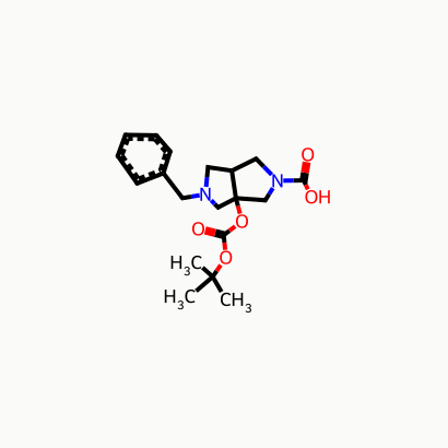 CC(C)(C)OC(=O)OC12CN(Cc3ccccc3)CC1CN(C(=O)O)C2